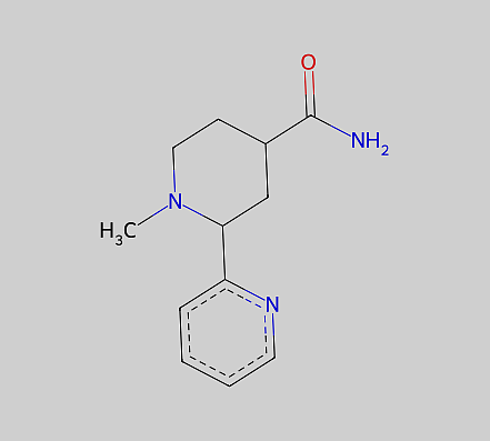 CN1CCC(C(N)=O)CC1c1ccccn1